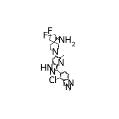 Cc1nc2c(-c3ccc4nn(C)cc4c3Cl)n[nH]c2cc1N1CCC2(CC1)CC(F)(F)C[C@H]2N